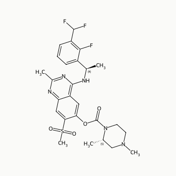 Cc1nc(N[C@H](C)c2cccc(C(F)F)c2F)c2cc(OC(=O)N3CCN(C)C[C@@H]3C)c(S(C)(=O)=O)cc2n1